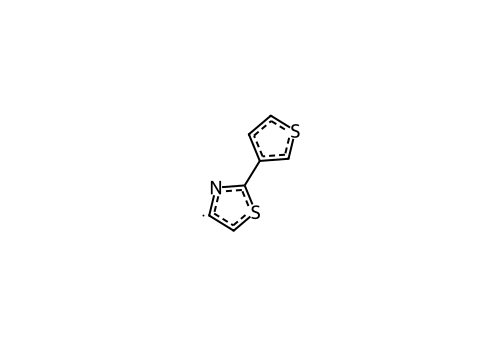 [c]1csc(-c2ccsc2)n1